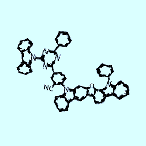 N#Cc1cc(-c2nc(-c3ccccc3)nc(-n3c4ccccc4c4ccccc43)n2)ccc1-n1c2ccccc2c2cc3c(cc21)oc1c3ccc2c3ccccc3n(-c3ccccc3)c21